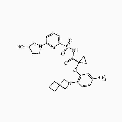 O=C(NS(=O)(=O)c1cccc(N2CCC(O)C2)n1)C1(Oc2cc(C(F)(F)F)ccc2N2CC3(CCC3)C2)CC1